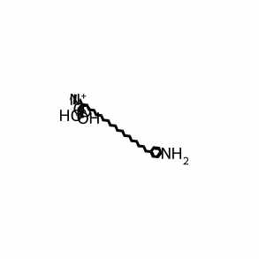 C[N+](C)(C)CC(CCCCCCCCCCCCCCCCCCc1ccc(N)cc1)OP(=O)(O)O